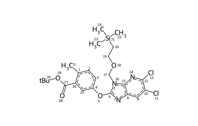 Cc1ccc(Oc2nc3cc(Cl)c(Cl)nc3n2COCC[Si](C)(C)C)cc1C(=O)OC(C)(C)C